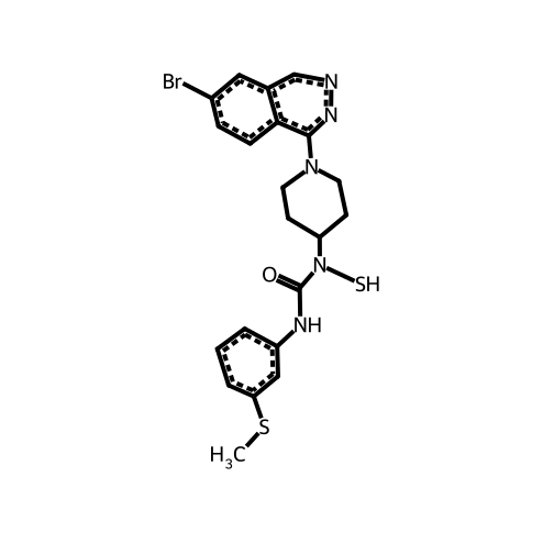 CSc1cccc(NC(=O)N(S)C2CCN(c3nncc4cc(Br)ccc34)CC2)c1